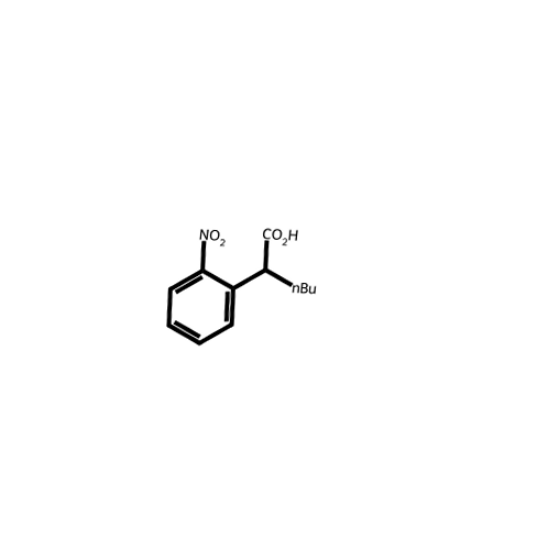 CCCCC(C(=O)O)c1ccccc1[N+](=O)[O-]